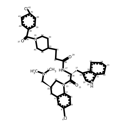 CN(C)C[C@@H]1Cc2cc(Cl)ccc2N(C(=O)[C@@H](Cc2c[nH]c3ccccc23)NC(=O)CCC2CCN(C(=O)c3ccc(Cl)cc3)CC2)C1